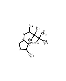 BC(B)(C(CCC)CC1CCC(C)C1)C(C)(C)CCCCC